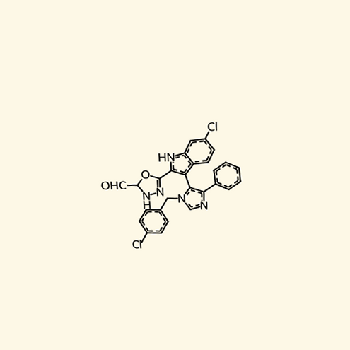 O=CC1NN=C(c2[nH]c3cc(Cl)ccc3c2-c2c(-c3ccccc3)ncn2Cc2ccc(Cl)cc2)O1